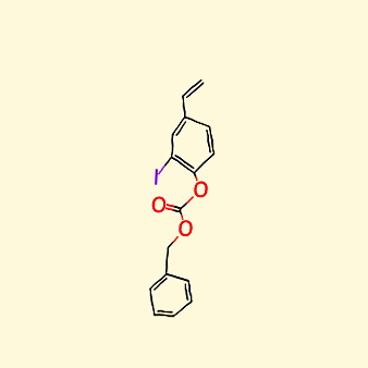 C=Cc1ccc(OC(=O)OCc2ccccc2)c(I)c1